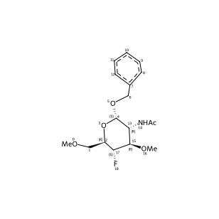 COC[C@H]1O[C@H](OCc2ccccc2)[C@H](NC(C)=O)[C@@H](OC)[C@@H]1F